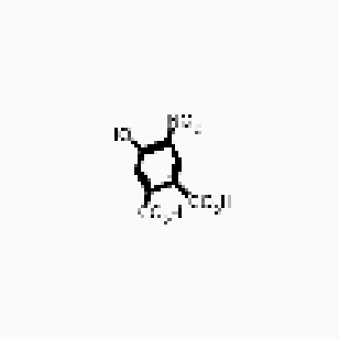 O=C(O)c1cc(O)c([N+](=O)[O-])cc1C(=O)O